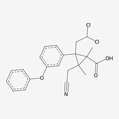 CC1(CC#N)C(C)(C(=O)O)C1(CC(Cl)Cl)c1cccc(Oc2ccccc2)c1